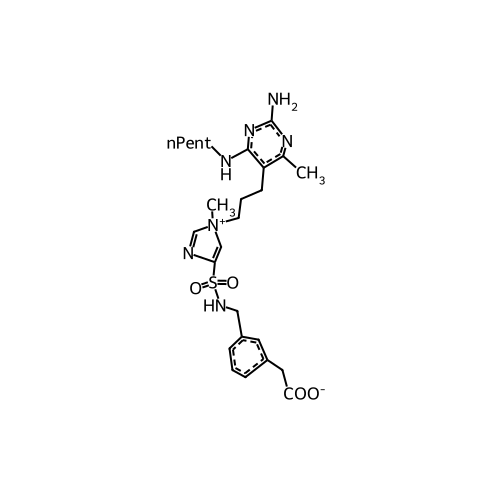 CCCCCNc1nc(N)nc(C)c1CCC[N+]1(C)C=NC(S(=O)(=O)NCc2cccc(CC(=O)[O-])c2)=C1